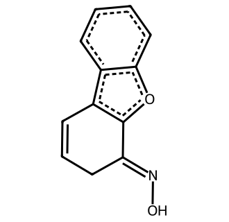 ON=C1CC=Cc2c1oc1ccccc21